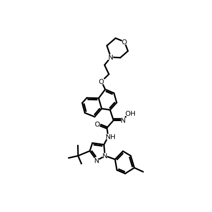 Cc1ccc(-n2nc(C(C)(C)C)cc2NC(=O)/C(=N/O)c2ccc(OCCN3CCOCC3)c3ccccc23)cc1